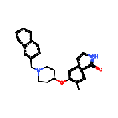 Cc1cc2c(=O)[nH]ccc2cc1OC1CCN(Cc2ccc3ccccc3c2)CC1